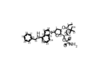 CC[Si](CC)(O[C@H]1C[C@H](n2ccc3c(NCc4ccccc4)nccc32)O[C@@H]1COS(N)(=O)=O)C(C)(C)C